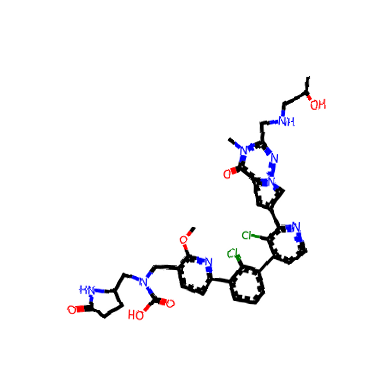 COc1nc(-c2cccc(-c3ccnc(-c4cc5c(=O)n(C)c(CNCC(C)O)nn5c4)c3Cl)c2Cl)ccc1CN(CC1CCC(=O)N1)C(=O)O